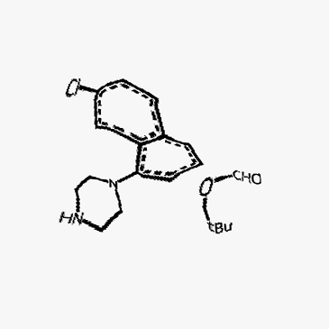 CC(C)(C)OC=O.Clc1ccc2cccc(N3CCNCC3)c2c1